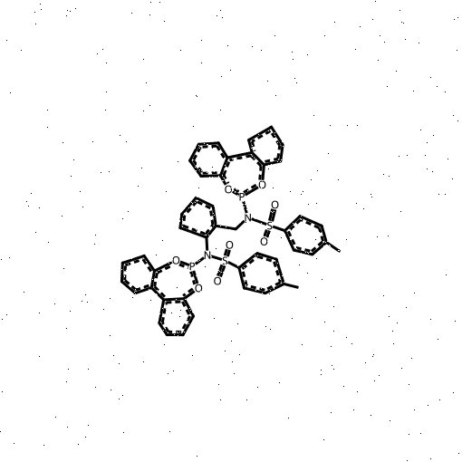 Cc1ccc(S(=O)(=O)N(Cc2ccccc2N(p2oc3ccccc3c3ccccc3o2)S(=O)(=O)c2ccc(C)cc2)p2oc3ccccc3c3ccccc3o2)cc1